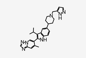 Cc1cc2ncnn2cc1-c1[nH]c2ccc(C3CCN(Cc4ccn[nH]4)CC3)cc2c1C(C)C